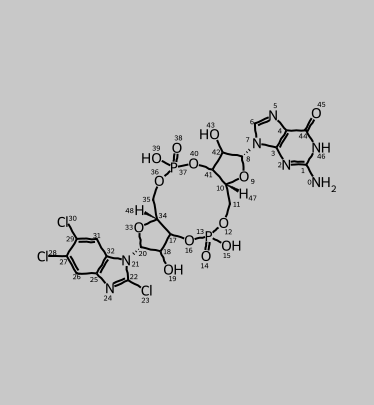 Nc1nc2c(ncn2[C@@H]2O[C@@H]3COP(=O)(O)OC4C(O)[C@H](n5c(Cl)nc6cc(Cl)c(Cl)cc65)O[C@@H]4COP(=O)(O)OC3C2O)c(=O)[nH]1